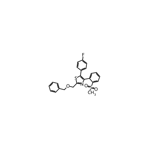 CS(=O)(=O)c1ccccc1-c1nc(COCc2ccccc2)sc1-c1ccc(F)cc1